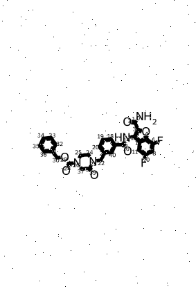 NC(=O)c1oc2c(F)cc(F)cc2c1NC(=O)c1cccc(CN2CCN(C(=O)OCc3ccccc3)CC2=O)c1